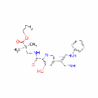 CCOC(=O)C(C)(C)CNC(=O)c1ncc(/C(C=N)=C/Nc2ccccc2)cc1O